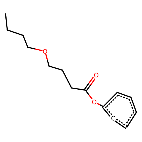 CCCCOCCCC(=O)Oc1ccccc1